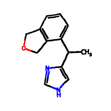 CC(c1c[nH]cn1)c1cccc2c1COC2